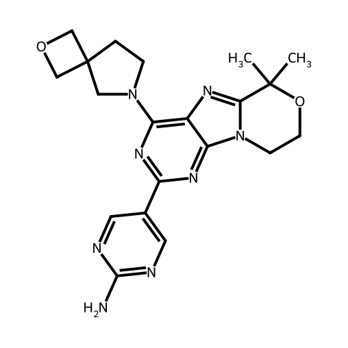 CC1(C)OCCn2c1nc1c(N3CCC4(COC4)C3)nc(-c3cnc(N)nc3)nc12